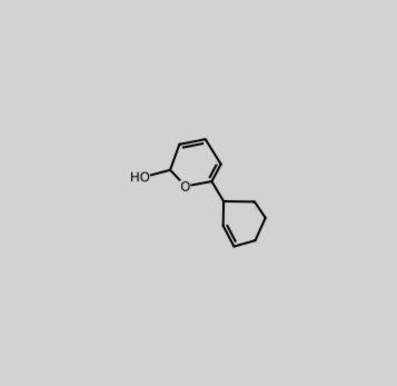 OC1C=CC=C(C2C=CCCC2)O1